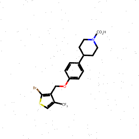 O=C(O)N1CCC(c2ccc(OCc3c(C(F)(F)F)csc3Br)cc2)CC1